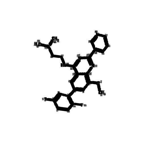 COc1cc(-c2cc(F)ccc2F)cc2c(NCCN(C)C)nc(-c3cccnc3)nc12